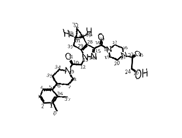 Cc1cccc(C2CCN(C(=O)Cn3nc(C(=O)N4CCN(C(=O)CO)CC4)c4c3C[C@@H]3C[C@H]43)CC2)c1C